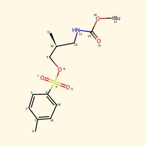 Cc1ccc(S(=O)(=O)OC[C@@H](C)CNC(=O)OC(C)(C)C)cc1